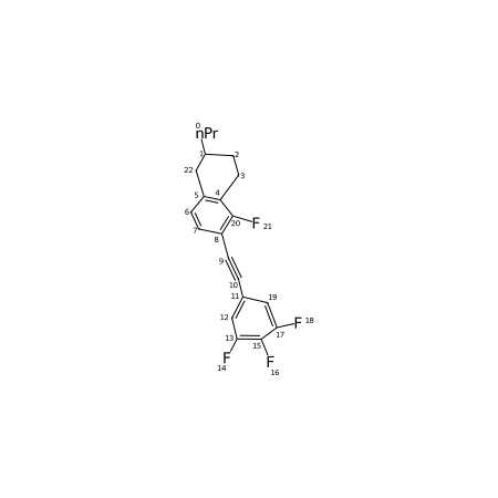 CCCC1CCc2c(ccc(C#Cc3cc(F)c(F)c(F)c3)c2F)C1